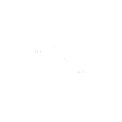 CNc1ccc(CN)c(C)n1